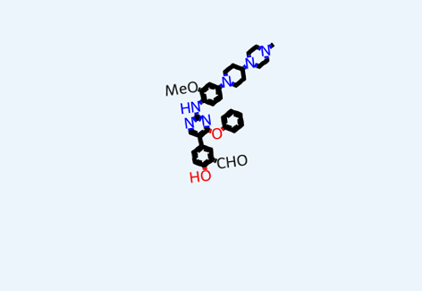 COc1cc(N2CCC(N3CCN(C)CC3)CC2)ccc1Nc1ncc(-c2ccc(O)c(C=O)c2)c(Oc2ccccc2)n1